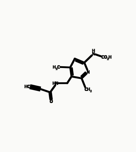 C#CC(=O)NCc1c(C)cc(NC(=O)O)nc1C